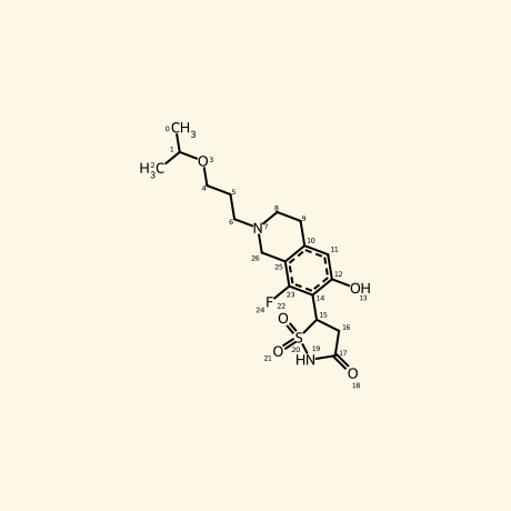 CC(C)OCCCN1CCc2cc(O)c(C3CC(=O)NS3(=O)=O)c(F)c2C1